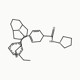 C=CCN1CCC2CCCC(C1)N2C(C1=CCC(C(=O)NN2CCCC2)C=C1)c1cccc(CC)c1